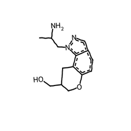 CC(N)Cn1ncc2ccc3c(c21)CC(CO)CO3